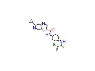 CC(NC1CCC(NC(=O)c2cnc3cc(C4CC4)ncc3c2)CC1)C(F)F